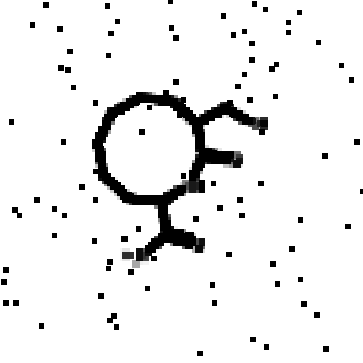 NC(=O)C1CCCCCCC(CS)C(=O)N1